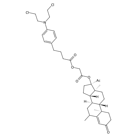 CC(=O)[C@@]1(OC(=O)COC(=O)CCCc2ccc(N(CCCl)CCCl)cc2)CC[C@H]2[C@@H]3CC(C)C4=CC(=O)CC[C@]4(C)[C@H]3CC[C@@]21C